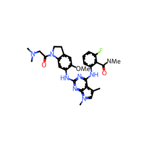 CNC(=O)c1c(F)cccc1Nc1nc(Nc2cc3c(cc2OC)CCN3C(=O)CN(C)C)nc2c1c(C)cn2C